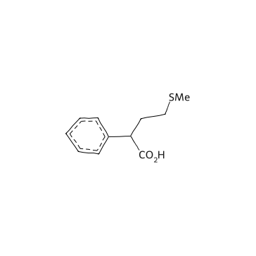 CSCCC(C(=O)O)c1ccccc1